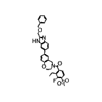 CCc1c(C(=O)N2CCOc3ccc(-c4ccc5nc(COCc6ccccc6)[nH]c5c4)cc3C2)ccc(S(C)(=O)=O)c1F